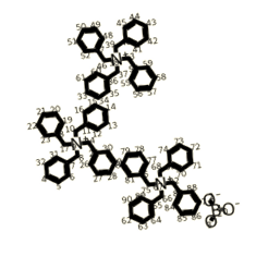 [O-]B([O-])[O-].c1ccc(C[N+](Cc2ccccc2)(Cc2ccccc2)Cc2ccccc2)cc1.c1ccc(C[N+](Cc2ccccc2)(Cc2ccccc2)Cc2ccccc2)cc1.c1ccc(C[N+](Cc2ccccc2)(Cc2ccccc2)Cc2ccccc2)cc1